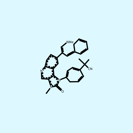 CN/C=C(\C=C1\C=CC=CC1)c1ccc2ncc3c(c2c1)n(C1=CC=C(C(C)(C)C#N)C=CC1)c(=O)n3C